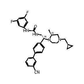 C[C@H]1CN(CC2CC2)CCN1[C@@H](CNC(=O)Nc1cc(F)cc(F)c1)c1ccc(-c2cccc(C#N)c2)cc1